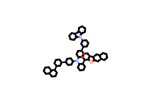 c1cc(-c2ccc(N(c3ccc(-c4cccc(-n5c6ccccc6c6ccccc65)c4)cc3)c3ccccc3-c3cccc4c3oc3cc5ccccc5cc34)cc2)cc(-c2cccc3ccccc23)c1